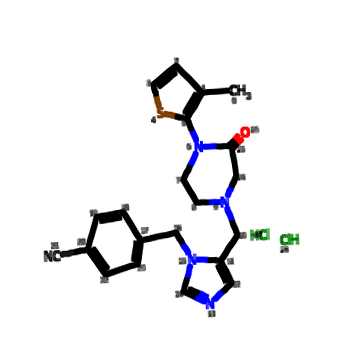 Cc1ccsc1N1CCN(Cc2cncn2Cc2ccc(C#N)cc2)CC1=O.Cl.Cl